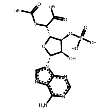 CCCC(=O)OC(C(=O)CCC)[C@H]1O[C@@H](n2cnc3c(N)ncnc32)[C@H](O)[C@@H]1OP(=O)(O)O